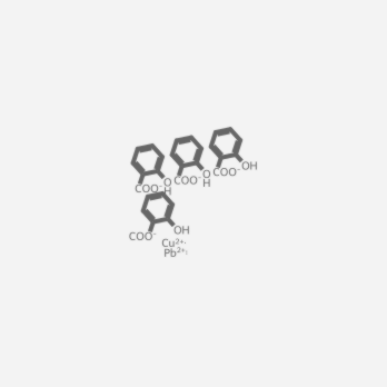 O=C([O-])c1ccccc1O.O=C([O-])c1ccccc1O.O=C([O-])c1ccccc1O.O=C([O-])c1ccccc1O.[Cu+2].[Pb+2]